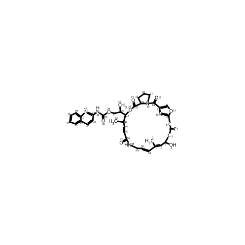 CC1=C\C(O)CC(F)Cc2nc(co2)C(=O)N2CCCC2C(=O)OC(C(C)COC(=O)Nc2ccc3ccccc3n2)C(C)/C=C/C(=O)NC\C=C\1